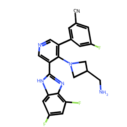 N#Cc1cc(F)cc(-c2cncc(-c3nc4c(F)cc(F)cc4[nH]3)c2N2CC(CN)C2)c1